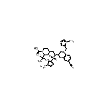 Cn1cnc(S(=O)(=O)N(CC2CCN(C(=O)O)C(C(C)(C)C)C2)C2Cc3cc(C#N)ccc3N(Cc3cncn3C)C2)c1